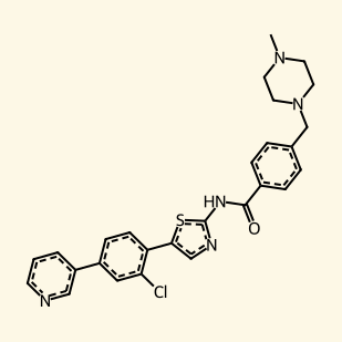 CN1CCN(Cc2ccc(C(=O)Nc3ncc(-c4ccc(-c5cccnc5)cc4Cl)s3)cc2)CC1